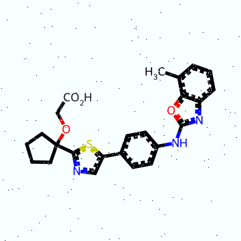 Cc1cccc2nc(Nc3ccc(-c4cnc(C5(OCC(=O)O)CCCC5)s4)cc3)oc12